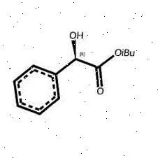 CC(C)COC(=O)[C@H](O)c1ccccc1